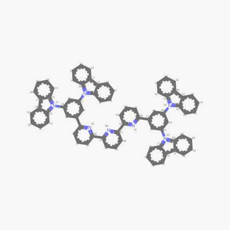 c1cc(-c2cc(-n3c4ccccc4c4ccccc43)cc(-n3c4ccccc4c4ccccc43)c2)nc(-c2cccc(-c3cccc(-c4cc(-n5c6ccccc6c6ccccc65)cc(-n5c6ccccc6c6ccccc65)c4)n3)n2)c1